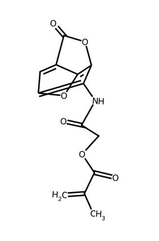 C=C(C)C(=O)OCC(=O)Nc1c2c3oc1cc3C(=O)O2